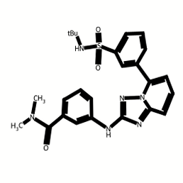 CN(C)C(=O)c1cccc(Nc2nc3cccc(-c4cccc(S(=O)(=O)NC(C)(C)C)c4)n3n2)c1